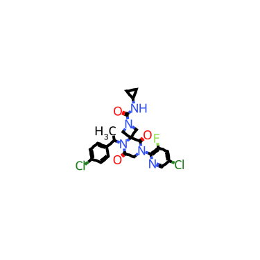 CC(c1ccc(Cl)cc1)N1C(=O)CN(c2ncc(Cl)cc2F)C(=O)C12CN(C(=O)NC1CC1)C2